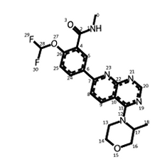 CNC(=O)c1cc(-c2ccc3c(N4CCOCC4C)ncnc3n2)ccc1OC(F)F